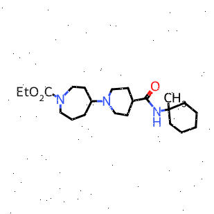 CCOC(=O)N1CCCC(N2CCC(C(=O)NC3(C)CCCCC3)CC2)CC1